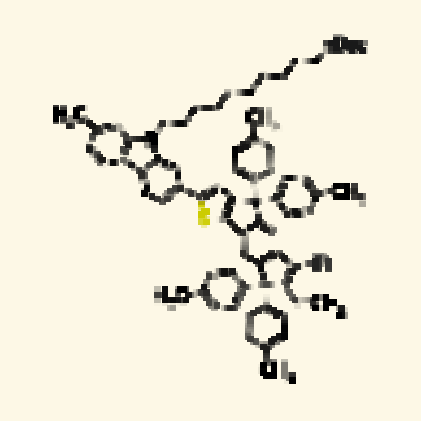 C=CC1=C(C(C)C)c2cc3c(cc2C1(c1ccc(C)cc1)c1ccc(C)cc1)-c1sc(-c2ccc4c(c2)B(CCCCCCCCCCCCCCCCCCCC)c2cc(C)ccc2-4)cc1C3(c1ccc(C)cc1)c1ccc(C)cc1